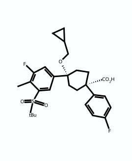 Cc1c(F)cc([C@]2(OCC3CC3)CC[C@](C(=O)O)(c3ccc(F)cc3)CC2)cc1S(=O)(=O)C(C)(C)C